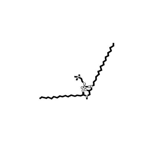 CCCCCCCCCCCCCCCCCCOCC(CN(C)C(=O)CCCCCCCCCCCCCCC)OP(=O)([O-])OCC[N+](C)(C)C